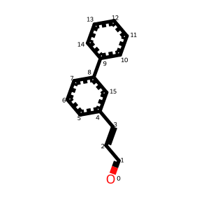 O=C/C=C/c1cccc(-c2ccccc2)c1